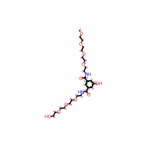 COCCOCCOCCOCCNC(=O)c1cc(O)cc(C(=O)NCCOCCOCCOCCO)c1